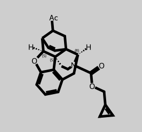 CC(=O)C1CC23C=CC1[C@@H]1Oc4cccc5c4[C@@]12CCN(C(=O)OCC1=CC1)[C@@H]3C5